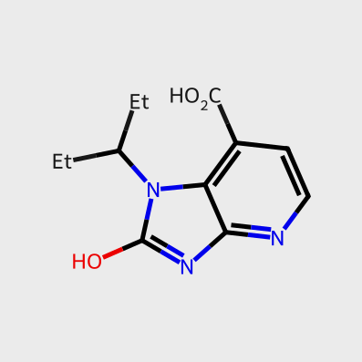 CCC(CC)n1c(O)nc2nccc(C(=O)O)c21